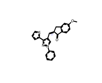 COc1ccc2c(c1)C/C(=C/c1cn(-c3ccccc3)nc1-c1cccs1)C2=O